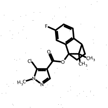 Cn1ncc(C(=O)OC23CCC(c4ccc(F)cc42)C3(C)C)c1Cl